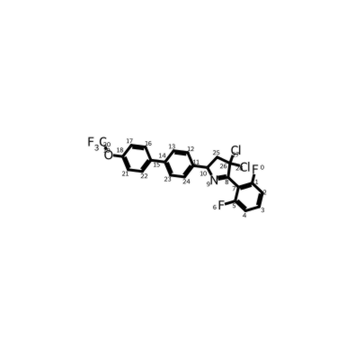 Fc1cccc(F)c1C1=NC(c2ccc(-c3ccc(OC(F)(F)F)cc3)cc2)CC1(Cl)Cl